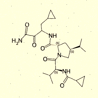 CC(C)[C@@H]1C[C@@H](C(=O)NC(CC2CC2)C(=O)C(N)=O)N(C(=O)[C@@H](NC(=O)C2CC2)C(C)C)C1